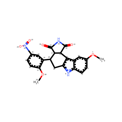 COc1ccc2[nH]c3c(c2c1)C1C(=O)NC(=O)C1C(c1cc([N+](=O)[O-])ccc1OC)C3